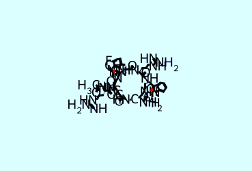 CCCCN1C(=O)N[C@H](Cc2ccc(F)cc2)C(=O)N[C@@H](CCCNC(=N)N)C(=O)N[C@@H](Cc2c[nH]c3ccccc23)C(=O)N[C@H](C(N)=O)CCCNC(=O)CC[C@H](NC(=O)[C@H](CCCNC(=N)N)NC(C)=O)C1=O